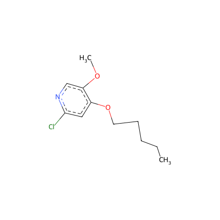 CCCCCOc1cc(Cl)ncc1OC